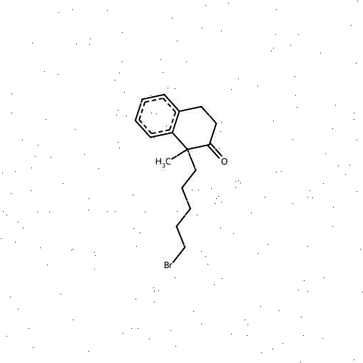 CC1(CCCCCBr)C(=O)CCc2ccccc21